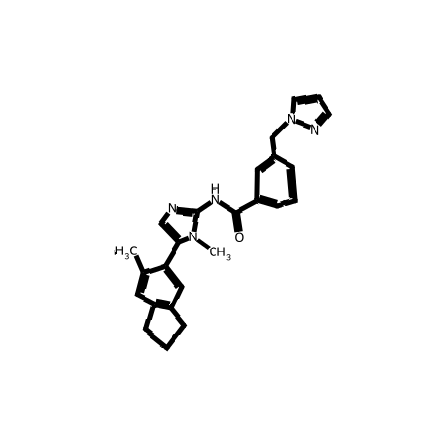 Cc1cc2c(cc1-c1cnc(NC(=O)c3cccc(Cn4cccn4)c3)n1C)CCC2